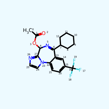 CC(=O)OC1N=C(C2CCCCC2)c2cc(C(F)(F)F)ccc2-n2ccnc21